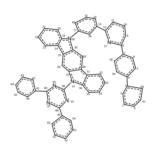 c1ccc(-c2ccc(-c3cccc(-c4cccc(-n5c6ccccc6c6cc7c(cc65)c5ccccc5n7-c5nc(-c6ccccc6)nc(-c6ccccc6)n5)c4)n3)cc2)cc1